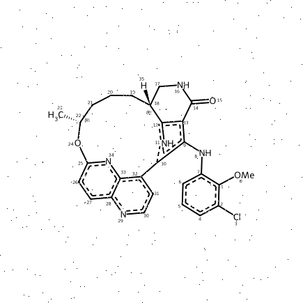 COc1c(Cl)cccc1Nc1c2[nH]c3c1C(=O)NC[C@H]3CCC[C@@H](C)Oc1ccc3nccc-2c3n1